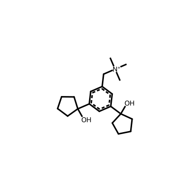 C[N+](C)(C)Cc1cc(C2(O)CCCC2)cc(C2(O)CCCC2)c1